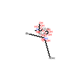 CCCCCCCCCCCCCCCCCCCCCC[C@@H](O)C(=O)N[C@@H](CO[C@@H]1O[C@H](CO[C@]2(C(=O)O)C[C@H](OS(=O)(=O)O)[C@@H](N=C(C)O)[C@H]([C@H](O)[C@H](O)CO)O2)[C@@H](O)[C@H](O)[C@H]1O)[C@H](O)[C@H](O)CCCCCCCCCC(C)CC